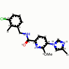 COc1nc(C(=O)NCc2cccc(Cl)c2C)ccc1-n1cnc(C)c1